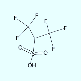 O=S(=O)(O)C(C(F)(F)F)C(F)(F)F